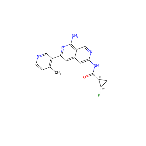 Cc1ccncc1-c1cc2cc(NC(=O)[C@@H]3C[C@@H]3F)ncc2c(N)n1